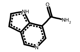 NC(=O)c1cncc2cc[nH]c12